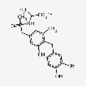 CCOC(=O)C(C)NP(C)(=O)Cc1cc(C)c(Cc2ccc(O)c(C(C)C)c2)c(C)c1